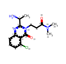 CC(N)c1nc2cccc(Cl)c2c(=O)n1CCC(=O)N(C)C